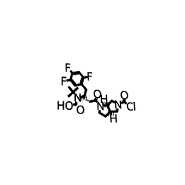 CC(C)(C)N(C(=O)O)[C@@H](CC(=O)N1CC[C@H]2CN(C(=O)Cl)C[C@H]21)Cc1cc(F)c(F)cc1F